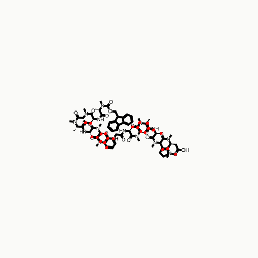 CC(C)C[C@H](NC(=O)[C@H](C)N(C)C(=O)OCC1c2ccccc2-c2ccccc21)C(=O)N(C)CC(=O)N(C)[C@@H](C)C(=O)N[C@@H](CC(C)C)C(=O)N(C)[C@@H](Cc1ccccc1)C(=O)N(C)[C@@H](C)C(=O)NCC(=O)N[C@@H](CC(C)C)C(=O)N(C)[C@@H](CC(C)C)C(=O)N(C)[C@@H](C)C(=O)N[C@@H](C)C(=O)N(C)C(C(=O)N(C)[C@@H](CC(=O)O)C(=O)N(C)C)C1CCCC1